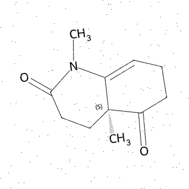 CN1C(=O)CC[C@]2(C)C(=O)CCC=C12